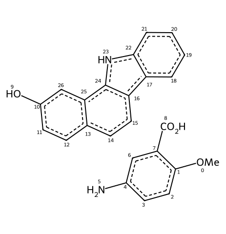 COc1ccc(N)cc1C(=O)O.Oc1ccc2ccc3c4ccccc4[nH]c3c2c1